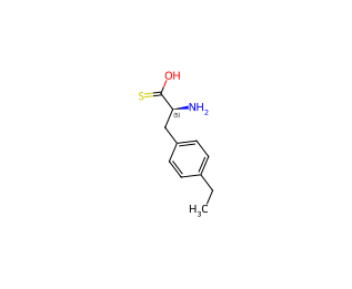 CCc1ccc(C[C@H](N)C(O)=S)cc1